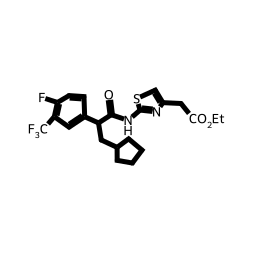 CCOC(=O)Cc1csc(NC(=O)C(CC2CCCC2)c2ccc(F)c(C(F)(F)F)c2)n1